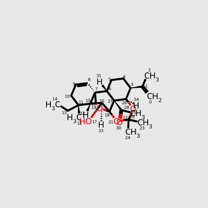 C=C(C)[C@@H]1CC[C@H]2[C@]34C=CC[C@@](C)(CC)[C@H]3[C@H](O)C3(OC4)OC(C)(C)O[C@H]1[C@@]23C(C)=O